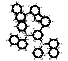 c1ccc(N(c2cc(-c3cccc4c3sc3c(-c5cccc6ccccc56)cccc34)cc(N(c3ccccc3)c3cccc4ccccc34)c2)c2cccc3ccccc23)cc1